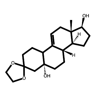 C[C@]12CC=C3C4CCC5(C[C@]4(O)CC[C@H]3[C@@H]1CC[C@@H]2O)OCCO5